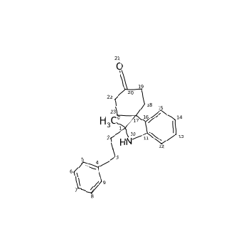 CC1(CCc2ccccc2)Nc2ccccc2C12CCC(=O)CC2